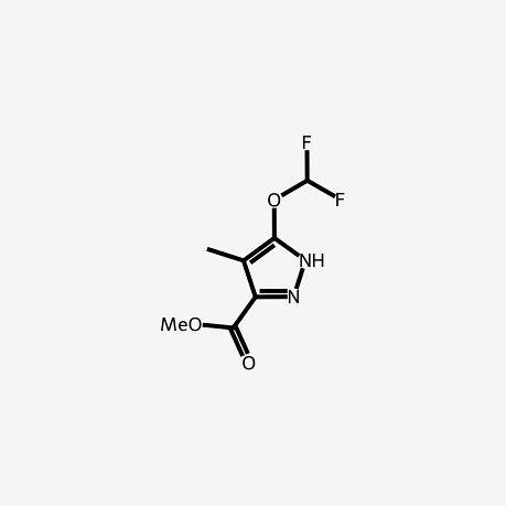 COC(=O)c1n[nH]c(OC(F)F)c1C